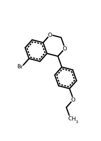 CCOc1ccc(C2OCOc3ccc(Br)cc32)cc1